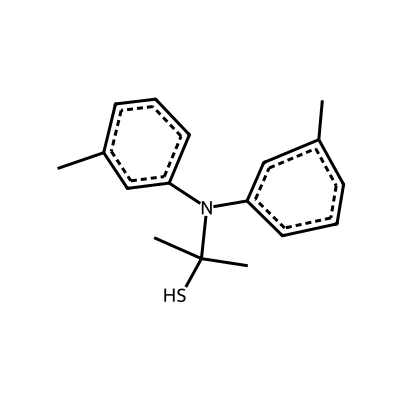 Cc1cccc(N(c2cccc(C)c2)C(C)(C)S)c1